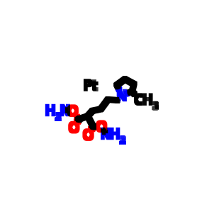 CC1CCCN1CCCCC(C(=O)ON)C(=O)ON.[Pt]